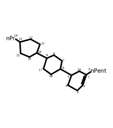 CCCCCC1=CCCC(C2CCC(C3CCC(CCC)CC3)CC2)C1